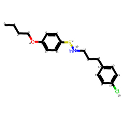 CCCCOc1ccc(SNCCCc2ccc(Cl)cc2)cc1